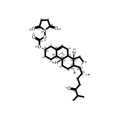 CC(C)C(=O)CC[C@@H](C)[C@H]1CC[C@H]2C3CC=C4C[C@@H](OC(=O)ON5C(=O)CCC5=O)CC[C@]4(C)[C@H]3CC[C@]12C